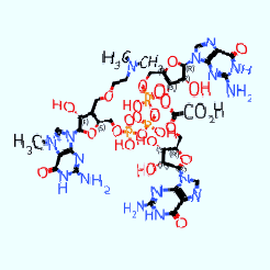 CN(C)CCOCC1[C@@H](O)C(n2c[n+](C)c3c(=O)[nH]c(N)nc32)O[C@@H]1COP(=O)(O)OP(=O)(O)OP(=O)(O)OC[C@H]1O[C@@H](n2cnc3c(=O)[nH]c(N)nc32)[C@H](O)[C@@H]1OC(OC[C@H]1O[C@@H](n2cnc3c(=O)[nH]c(N)nc32)[C@H](O)[C@@H]1O)C(=O)O